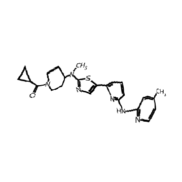 Cc1ccnc(Nc2cccc(-c3cnc(N(C)C4CCN(C(=O)C5CC5)CC4)s3)n2)c1